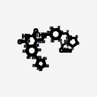 COC[C@H]1CCCN1Cc1ccc(N/C=C2\C(=O)NC(=O)c3ccc(-c4ccsc4)cc32)cc1